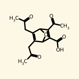 CC(=O)CC1=C(CC(C)=O)C2OC1C(C(C)=O)=C2C(=O)O